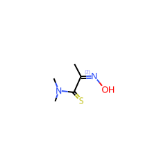 C/C(=N/O)C(=S)N(C)C